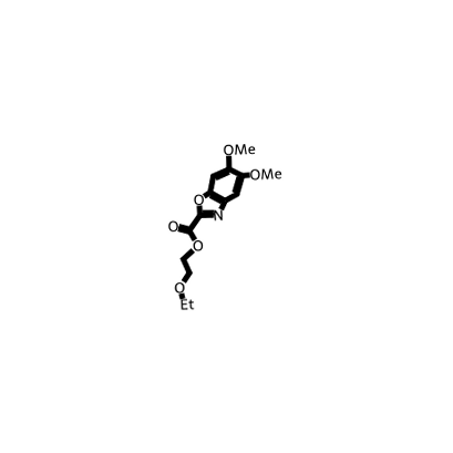 CCOCCOC(=O)c1nc2cc(OC)c(OC)cc2o1